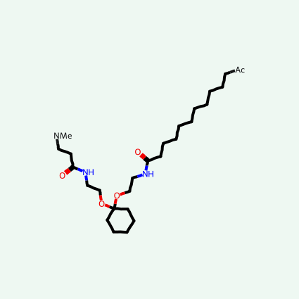 CNCCC(=O)NCCOC1(OCCNC(=O)CCCCCCCCCCC(C)=O)CCCCC1